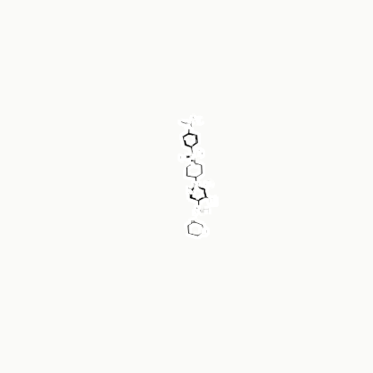 CC(=O)N(C)c1ccc(S(=O)(=O)N2CCC(n3ncc(NC[C@H]4CCCOC4)c(Cl)c3=O)CC2)cc1